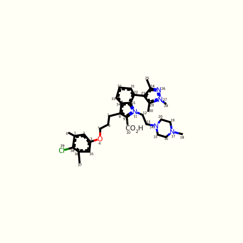 Cc1cc(OCCCc2c(C(=O)O)n(CCN3CCN(C)CC3)c3c(-c4c(C)nn(C)c4C)cccc23)cc(C)c1Cl